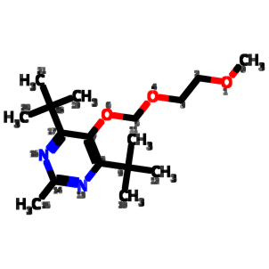 COCCOCOc1c(C(C)(C)C)nc(C)nc1C(C)(C)C